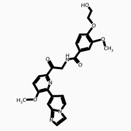 COc1cc(C(=O)NCC(=O)c2ccc(OC)c(-c3ccn4ccnc4c3)n2)ccc1OCCO